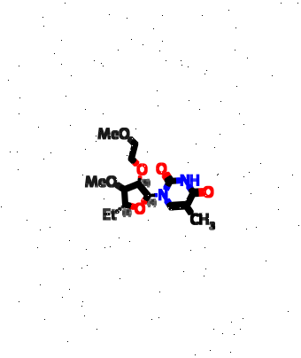 CC[C@H]1O[C@@H](n2cc(C)c(=O)[nH]c2=O)[C@@H](OCCOC)C1OC